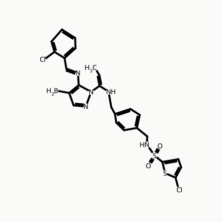 Bc1cnn(/C(=C\C)NCc2ccc(CNS(=O)(=O)c3ccc(Cl)s3)cc2)c1/N=C/c1ccccc1Cl